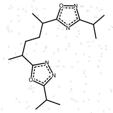 CC(C)c1noc(C(C)CCC(C)c2nnc(C(C)C)o2)n1